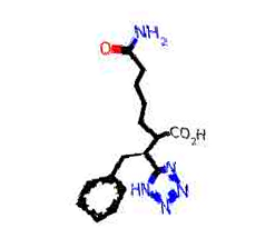 NC(=O)CCCCC(C(=O)O)[C@H](Cc1ccccc1)c1nnn[nH]1